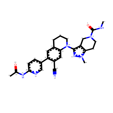 CNC(=O)N1CCc2c(c(N3CCCc4cc(-c5ccc(NC(C)=O)nc5)c(C#N)cc43)nn2C)C1